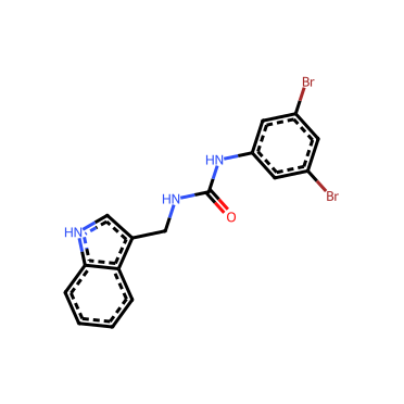 O=C(NCc1c[nH]c2ccccc12)Nc1cc(Br)cc(Br)c1